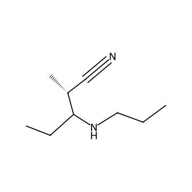 CCCNC(CC)[C@H](C)C#N